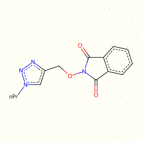 CCCn1cc(CON2C(=O)c3ccccc3C2=O)nn1